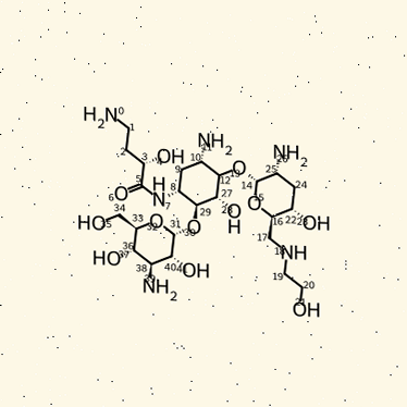 NCC[C@H](O)C(=O)N[C@@H]1C[C@H](N)C(O[C@H]2O[C@H](CNCCO)[C@@H](O)C[C@H]2N)[C@H](O)[C@H]1O[C@H]1O[C@H](CO)[C@@H](O)[C@H](N)[C@H]1O